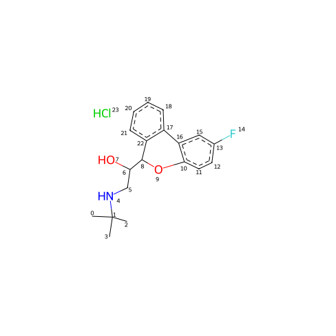 CC(C)(C)NCC(O)C1Oc2ccc(F)cc2-c2ccccc21.Cl